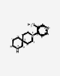 Nc1cnccc1N1CCC2(CCCNC2)CC1